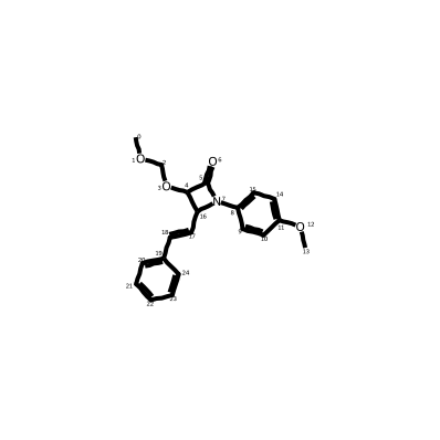 COCOC1C(=O)N(c2ccc(OC)cc2)C1/C=C/c1ccccc1